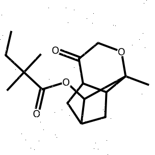 CCC(C)(C)C(=O)OC1C2CC3C(=O)COC1(C)C3C2